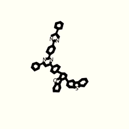 c1ccc(-c2cnc(-c3ccc(-c4nc(-c5ccccc5)cc(-c5ccc(-c6ccc(-c7ccc8sc9ccccc9c8c7)c7c6oc6ccccc67)cc5)n4)cc3)nc2)cc1